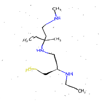 CCN[C@@H](CS)CNC(C)(C)CNC